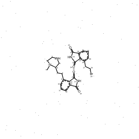 CN1CCNCC1CCc1cccc2c1C(=O)NC2=O.O=C1NC(=O)c2c(CCBr)cccc21